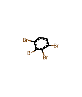 Brc1ccc(Br)c(Br)c1Br